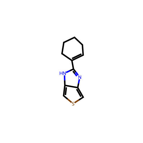 C1=C(c2nc3cscc3[nH]2)CCCC1